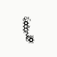 COc1ccc(Br)c(CC2CCN(CCC3COc4ccccc4N3)CC2)c1